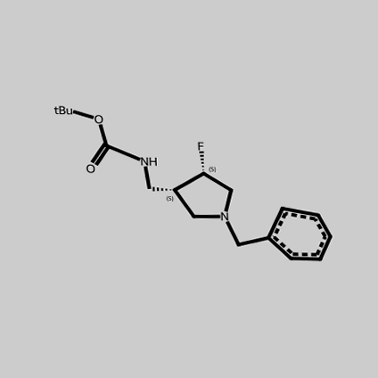 CC(C)(C)OC(=O)NC[C@H]1CN(Cc2ccccc2)C[C@H]1F